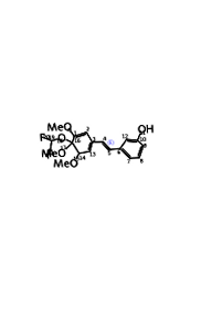 COC1=CC(/C=C/c2cccc(O)c2)=CC(OC)C1(OC)OC(F)F